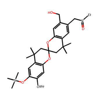 CC[Si](=O)Cc1cc2c(cc1CO)OC1(CC2(C)C)CC(C)(C)c2cc(O[Si](C)(C)C)c(OC)cc2O1